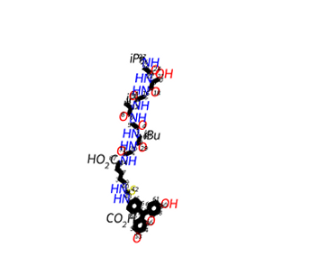 CC[C@H](C)C(NC(=O)CNC(=O)C(CC(C)C)NC(=O)CNC(=O)C(CO)NC(=O)CNC(C)C)C(=O)NCC(=O)NC(CCCCNC(=S)Nc1ccc(-c2c3ccc(=O)cc-3oc3cc(O)ccc23)c(C(=O)O)c1)C(=O)O